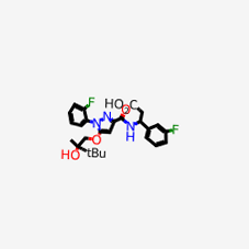 CC(C)(C)C(C)(O)COc1cc(C(=O)NC(CC(=O)O)c2cccc(F)c2)nn1-c1ccccc1F